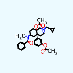 CC(=O)Oc1cccc([C@@]23CCN(CC4CC4)C[C@@]2(OC(C)=O)CC[C@H](N(C)C(=O)c2ccccc2)C3)c1